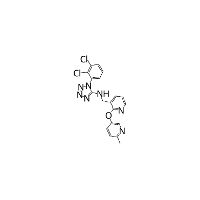 Cc1ccc(Oc2ncccc2CNc2nnnn2-c2cccc(Cl)c2Cl)cn1